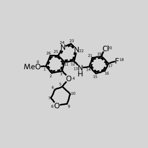 COc1cc(OC2CCOCC2)c2c(Nc3ccc(F)c(Cl)c3)ncnc2c1